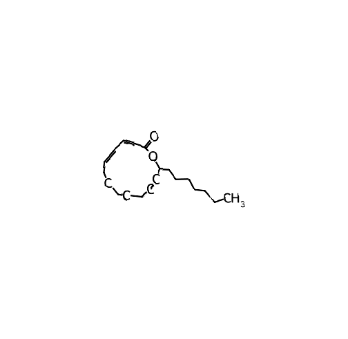 CCCCCCCC1CCCCCCCC=CC=CC(=O)O1